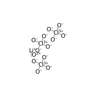 [Li+].[O+2].[O-][Cl+3]([O-])([O-])[O-].[O-][Cl+3]([O-])([O-])[O-].[O-][Cl+3]([O-])([O-])[O-]